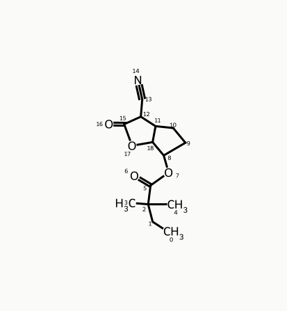 CCC(C)(C)C(=O)OC1CCC2C(C#N)C(=O)OC12